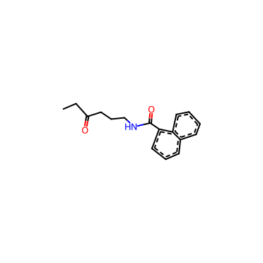 CCC(=O)CCCNC(=O)c1cccc2ccccc12